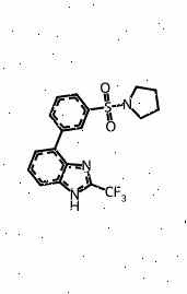 O=S(=O)(c1cccc(-c2cccc3[nH]c(C(F)(F)F)nc23)c1)N1CCCC1